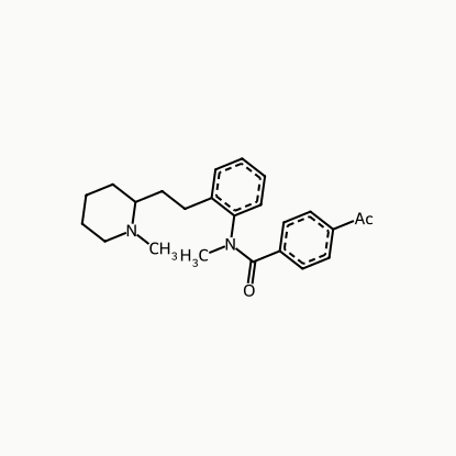 CC(=O)c1ccc(C(=O)N(C)c2ccccc2CCC2CCCCN2C)cc1